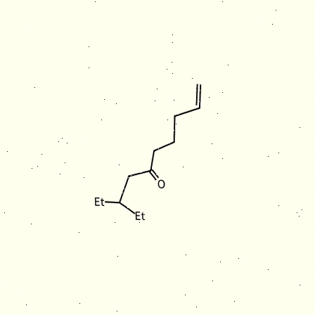 C=CCCCC(=O)CC(CC)CC